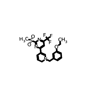 CCOc1cccc(CN2C=C(c3cc(C(F)(F)F)nc(S(C)(=O)=O)n3)C=CC2)c1